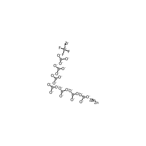 F[B-](F)(F)F.[O-]B([O-])[O-].[O-]B([O-])[O-].[O-]B([O-])[O-].[O-]B([O-])[O-].[O-]B([O-])[O-].[O-]B([O-])[O-].[O-]B([O-])[O-].[Zn].[Zn].[Zn].[Zr]